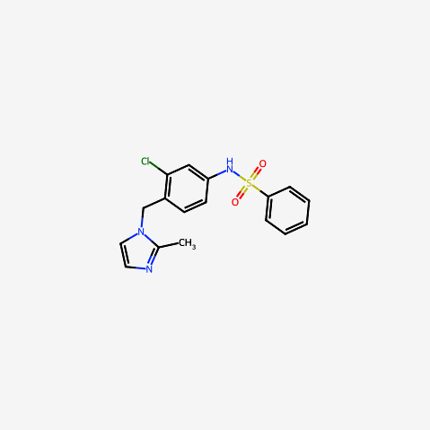 Cc1nccn1Cc1ccc(NS(=O)(=O)c2ccccc2)cc1Cl